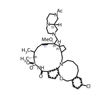 CO[C@@]1(CN2CCN3CCN(C(C)=O)C[C@@H]3C2)/C=C/CC(C)[C@@H](C)S(=O)(=O)NC(=O)c2ccc3c(c2)N(CCCCc2cc(Cl)ccc2CO3)CC2CC[C@H]21